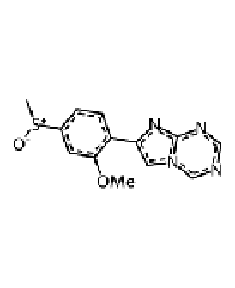 COc1cc([S+](C)[O-])ccc1-c1cn2cncnc2n1